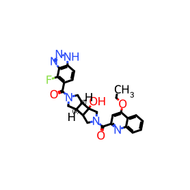 CCOc1cc(C(=O)N2CC3[C@H]4CN(C(=O)c5ccc6[nH]nnc6c5F)C[C@H]4C3(O)C2)nc2ccccc12